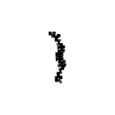 C=CC(=O)OCCOC(F)(F)C(F)OC(F)(F)C(F)(F)C(F)(F)OC(F)C(F)(F)OCCOC(=O)C=C